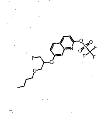 CCCCOCC(CF)Oc1ccc2ccc(OS(=O)(=O)C(F)(F)F)nc2c1